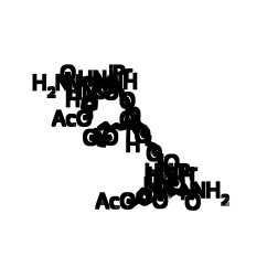 CC(=O)OCc1ccc(NC(=O)[C@H](CCCNC(N)=O)NC(=O)[C@@H](NC(=O)CCOCCCOCC(COCCOCCC(=O)N[C@H](C(=O)N[C@@H](CCCNC(N)=O)C(=O)Nc2ccc(COC(C)=O)cc2)C(C)C)NC(=O)CCCCCN2C(=O)C=CC2=O)C(C)C)cc1